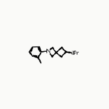 Cc1ccccc1N1CC2(CC(C(C)C)C2)C1